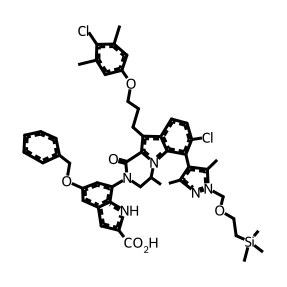 Cc1cc(OCCCc2c3n(c4c(-c5c(C)nn(COCC[Si](C)(C)C)c5C)c(Cl)ccc24)C(C)CN(c2cc(OCc4ccccc4)cc4cc(C(=O)O)[nH]c24)C3=O)cc(C)c1Cl